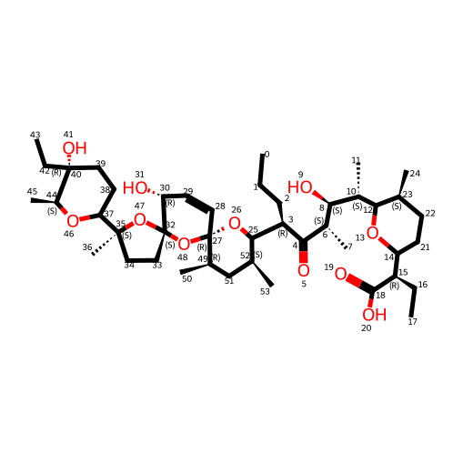 CCC[C@@H](C(=O)[C@@H](C)[C@@H](O)[C@H](C)C1OC([C@@H](CC)C(=O)O)CC[C@@H]1C)C1O[C@]2(C=C[C@@H](O)[C@]3(CC[C@@](C)(C4CC[C@](O)(CC)[C@H](C)O4)O3)O2)[C@H](C)C[C@@H]1C